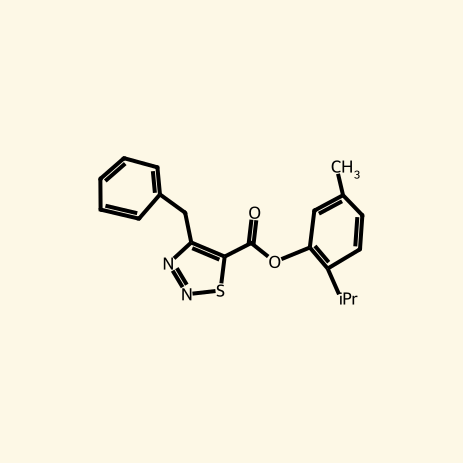 Cc1ccc(C(C)C)c(OC(=O)c2snnc2Cc2ccccc2)c1